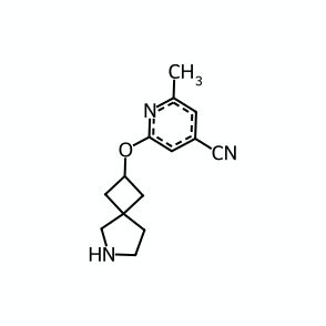 Cc1cc(C#N)cc(OC2CC3(CCNC3)C2)n1